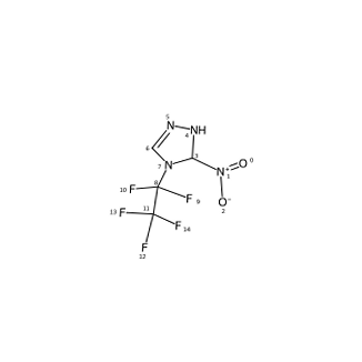 O=[N+]([O-])C1NN=CN1C(F)(F)C(F)(F)F